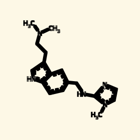 CN(C)CCc1c[nH]c2ccc(CNc3nccn3C)cc12